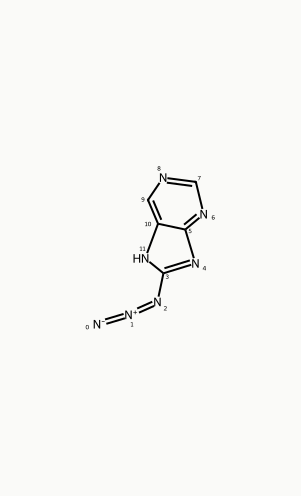 [N-]=[N+]=Nc1nc2ncncc2[nH]1